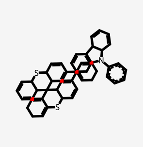 C1=CC2SC3C=CC(C4=CCCC=C4)=CC3C3(C4=CCCC=C4SC4C=CC(C5C=CC6=C(C5)N(c5ccccc5)C5C=CC=CC65)=CC43)C2C=C1